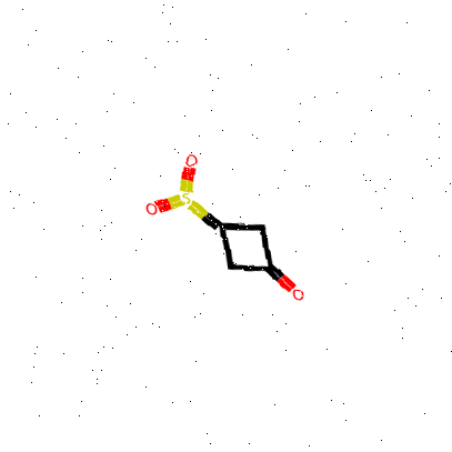 O=C1CC(=S(=O)=O)C1